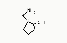 Cl.NC[C@@H]1CCCO1